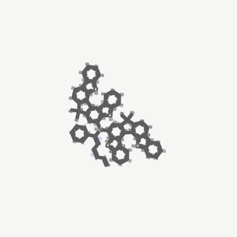 C=C/C=C\C=C(/c1ccccc1)N(c1cc2c(c3c1oc1ccccc13)-c1c(ccc3c1oc1ccccc13)C2(C)C)c1cc2c(c3c1oc1ccccc13)-c1c(ccc3c1oc1ccccc13)C2(C)C